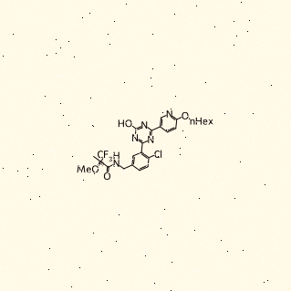 CCCCCCOc1ccc(-c2nc(O)nc(-c3cc(CNC(=O)[C@@](C)(OC)C(F)(F)F)ccc3Cl)n2)cn1